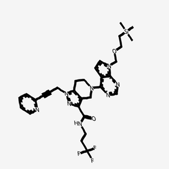 C[Si](C)(C)CCOCn1ccc2c(N3CCc4c(c(C(=O)NCCC(F)(F)F)nn4CC#Cc4ccccn4)C3)ncnc21